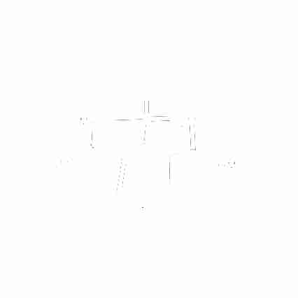 COC(=O)c1cccc(C(=O)OC)c1S(=O)(=O)Cl